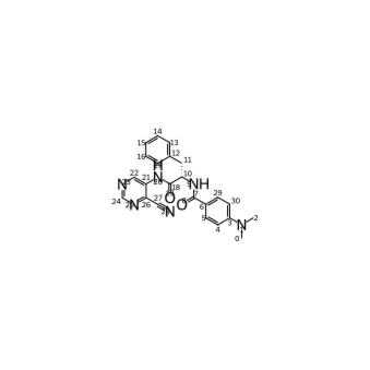 CN(C)c1ccc(C(=O)N[C@@H](Cc2ccccc2)C(=O)Nc2cncnc2C#N)cc1